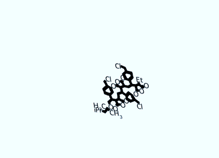 CCC1C(=O)OC(=O)C1C(CC1C(=O)OC(=O)C1C(CC1C(=O)OC(=O)C1C(COC(C)(C)CC(C)C)c1ccc(CCl)cc1)c1ccc(CCl)cc1)c1ccc(CCl)cc1